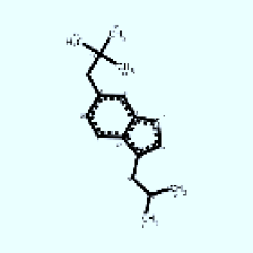 CC(C)Cc1csc2cc(CC(C)(C)C)ccc12